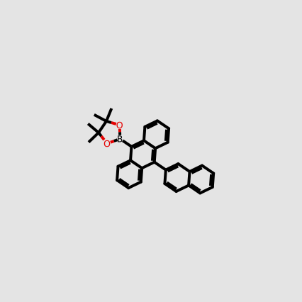 CC1(C)OB(c2c3ccccc3c(-c3ccc4ccccc4c3)c3ccccc23)OC1(C)C